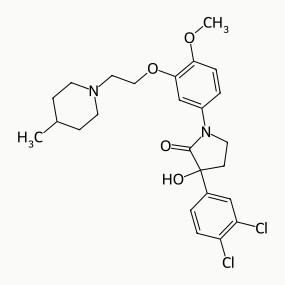 COc1ccc(N2CCC(O)(c3ccc(Cl)c(Cl)c3)C2=O)cc1OCCN1CCC(C)CC1